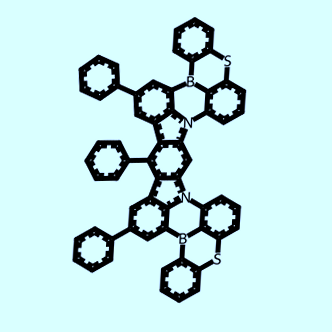 c1ccc(-c2cc3c4c(c2)c2c(-c5ccccc5)c5c6cc(-c7ccccc7)cc7c6n(c5cc2n4-c2cccc4c2B3c2ccccc2S4)-c2cccc3c2B7c2ccccc2S3)cc1